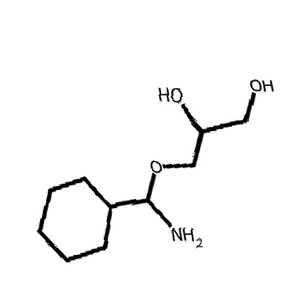 NC(OCC(O)CO)C1CCCCC1